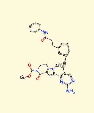 Cn1c(-c2nc(N)ncc2C#Cc2cccc(CCC(=O)Nc3ccccc3)c2)cc2c1CCN(C(=O)OC(C)(C)C)C2=O